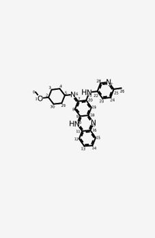 COC1CCC(N=c2cc3[nH]c4ccccc4nc-3cc2Nc2ccc(C)nc2)CC1